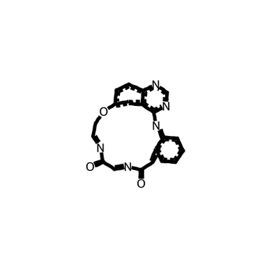 O=C1/C=N/C(=O)/C=c2\cccc\c2=N/c2ncnc3ccc(cc23)OC/C=N/1